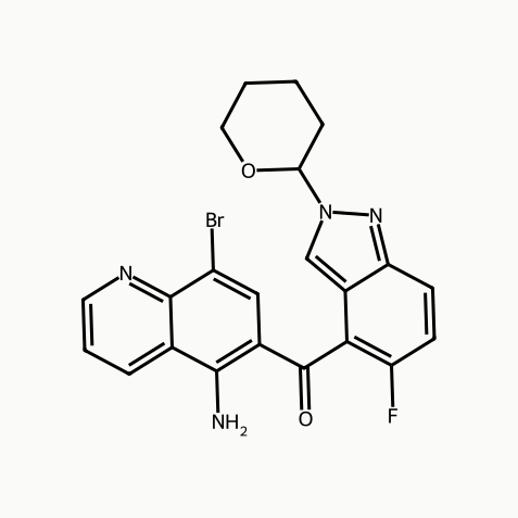 Nc1c(C(=O)c2c(F)ccc3nn(C4CCCCO4)cc23)cc(Br)c2ncccc12